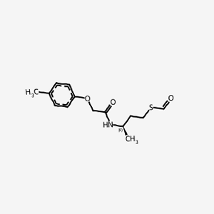 Cc1ccc(OCC(=O)N[C@H](C)CCSC=O)cc1